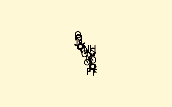 Cc1cc(C)c(N2CCOCC2)c(C)c1NC(=O)c1sccc1N(C)S(=O)(=O)c1ccc(F)c(F)c1